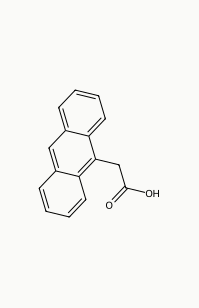 O=C(O)Cc1c2ccccc2cc2ccccc12